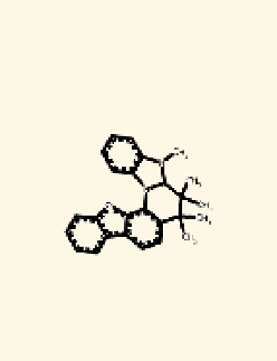 CN1c2ccccc2N2c3c(ccc4c3oc3ccccc34)C(C)(C)C(C)(C)C12